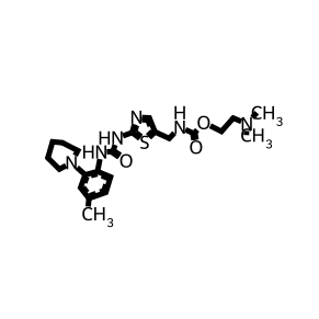 Cc1ccc(NC(=O)Nc2ncc(CNC(=O)OCCN(C)C)s2)c(N2CCCCC2)c1